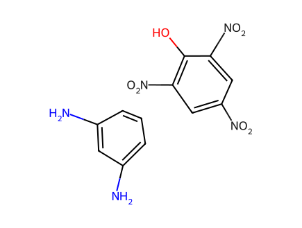 Nc1cccc(N)c1.O=[N+]([O-])c1cc([N+](=O)[O-])c(O)c([N+](=O)[O-])c1